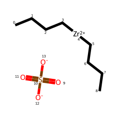 CCC[CH2][Zr+2][CH2]CCC.O=S(=O)([O-])[O-]